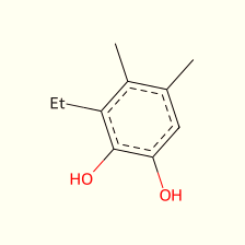 CCc1c(C)c(C)cc(O)c1O